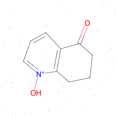 O=C1CCCc2c1ccc[n+]2O